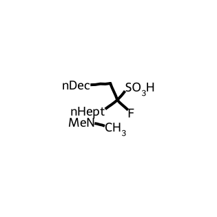 CCCCCCCCCCCC(F)(CCCCCCC)S(=O)(=O)O.CNC